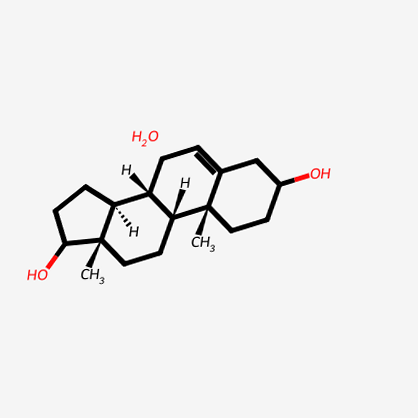 C[C@]12CCC(O)CC1=CC[C@@H]1[C@H]2CC[C@]2(C)C(O)CC[C@@H]12.O